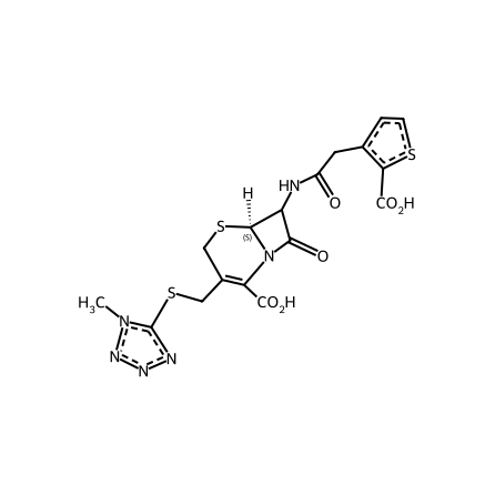 Cn1nnnc1SCC1=C(C(=O)O)N2C(=O)C(NC(=O)Cc3ccsc3C(=O)O)[C@@H]2SC1